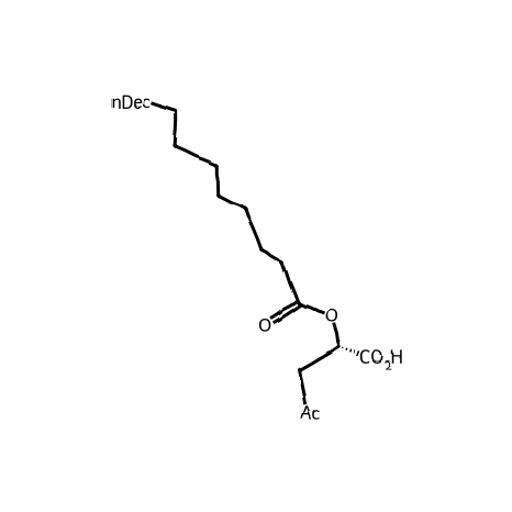 CCCCCCCCCCCCCCCCCC(=O)O[C@@H](CC(C)=O)C(=O)O